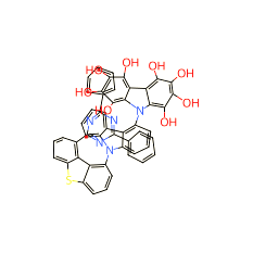 Oc1c(O)c(O)c2c(c1O)c1c(O)c(O)c(O)c(O)c1n2-c1cccc2c1c1ccccc1n2-c1cccc2sc3cccc(-c4nc(-c5ccccc5)nc(-c5ccccc5)n4)c3c12